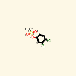 CS(=O)(=O)Oc1[c]cc(Cl)c(Cl)c1